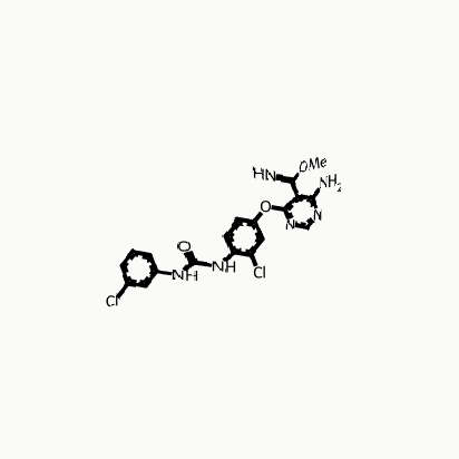 COC(=N)c1c(N)ncnc1Oc1ccc(NC(=O)Nc2cccc(Cl)c2)c(Cl)c1